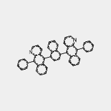 c1ccc(-c2c3ccccc3c(-c3ccc(-c4c5ccccc5c(-c5ccccc5)c5ncccc45)c4ccccc34)c3cccnc23)cc1